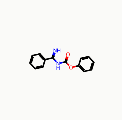 N=C(NC(=O)Oc1ccccc1)c1cc[c]cc1